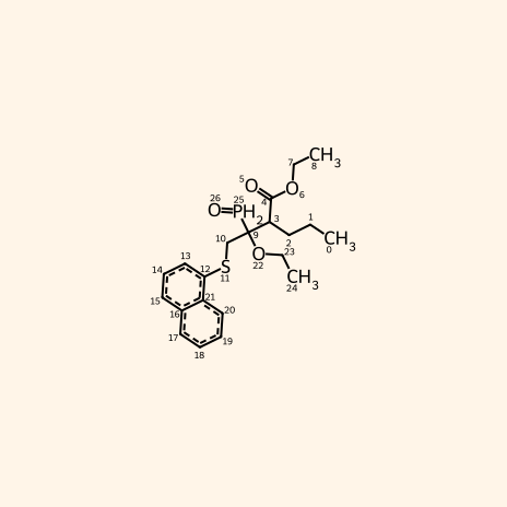 CCCC(C(=O)OCC)C(CSc1cccc2ccccc12)(OCC)[PH2]=O